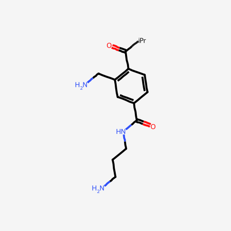 CC(C)C(=O)c1ccc(C(=O)NCCCN)cc1CN